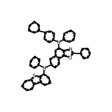 c1ccc(-c2ccc(N(c3ccccc3)c3cc4cc(N(c5ccccc5)c5cccc6c5sc5ccccc56)ccc4c4oc(-c5ccccc5)nc34)cc2)cc1